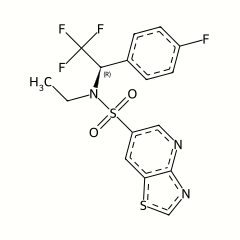 CCN([C@H](c1ccc(F)cc1)C(F)(F)F)S(=O)(=O)c1cnc2ncsc2c1